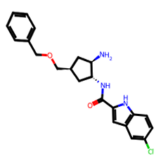 N[C@@H]1C[C@H](COCc2ccccc2)C[C@H]1NC(=O)c1cc2cc(Cl)ccc2[nH]1